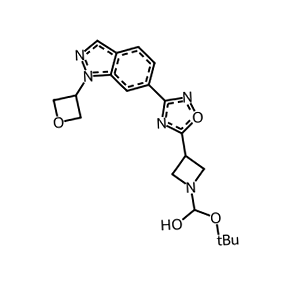 CC(C)(C)OC(O)N1CC(c2nc(-c3ccc4cnn(C5COC5)c4c3)no2)C1